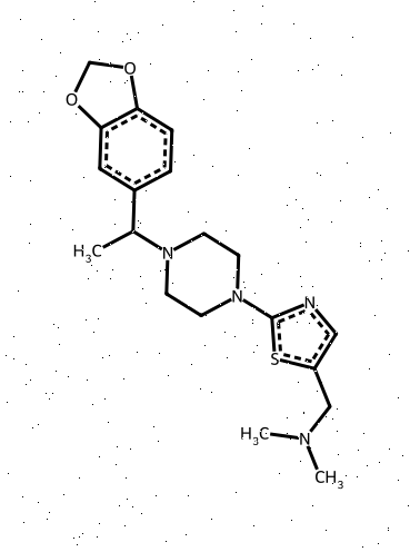 CC(c1ccc2c(c1)OCO2)N1CCN(c2ncc(CN(C)C)s2)CC1